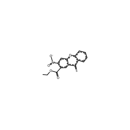 CCOC(=O)c1cc2c(=S)c3ccccc3oc2cc1[N+](=O)[O-]